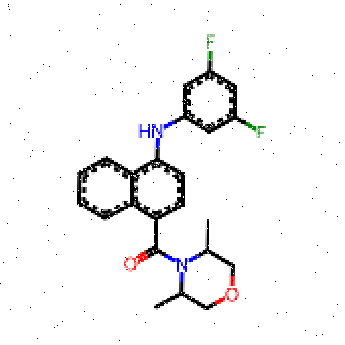 CC1COCC(C)N1C(=O)c1ccc(Nc2cc(F)cc(F)c2)c2ccccc12